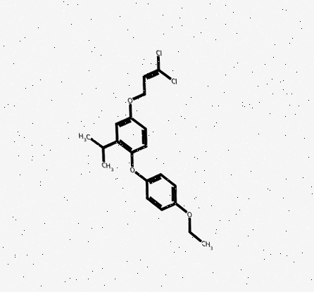 CCOc1ccc(Oc2ccc(OCC=C(Cl)Cl)cc2C(C)C)cc1